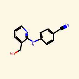 N#Cc1ccc(Nc2ncccc2CO)cc1